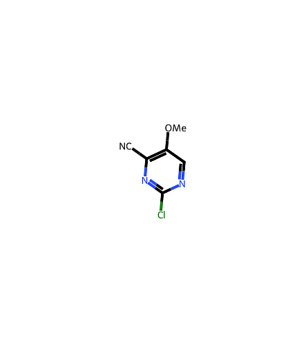 COc1cnc(Cl)nc1C#N